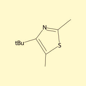 Cc1nc(C(C)(C)C)c(C)s1